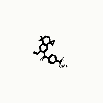 C=Cc1cc2c(cc1C(=O)c1ccc(C(=O)OC)cc1)C1(CCC2(C)C)CC1